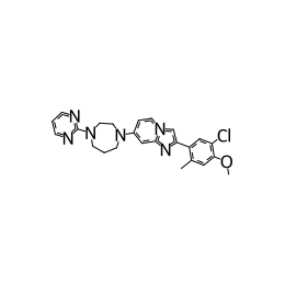 COc1cc(C)c(-c2cn3ccc(N4CCCN(c5ncccn5)CC4)cc3n2)cc1Cl